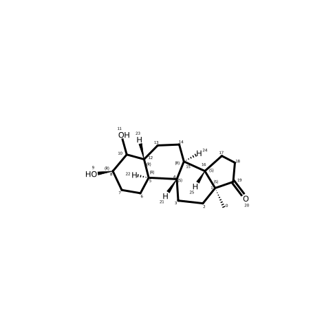 C[C@]12CC[C@@H]3[C@H]4CC[C@@H](O)C(O)[C@@H]4CC[C@H]3[C@@H]1CCC2=O